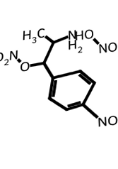 CC(N)C(O[N+](=O)[O-])c1ccc([N+](=O)[O-])cc1.O=[N+]([O-])O